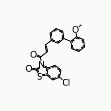 COc1ccccc1-c1cccc(/C=C/C(=O)n2c(=O)sc3cc(Cl)ccc32)c1